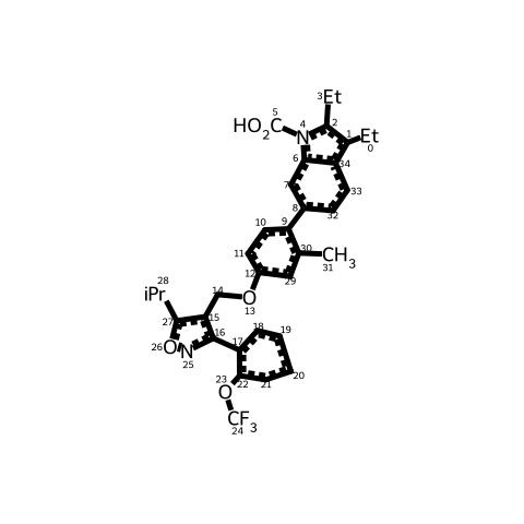 CCc1c(CC)n(C(=O)O)c2cc(-c3ccc(OCc4c(-c5ccccc5OC(F)(F)F)noc4C(C)C)cc3C)ccc12